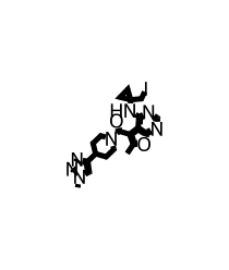 Cc1oc2ncnc(NC3(CI)CC3)c2c1C(=O)N1CCC(c2cn(C)nn2)CC1